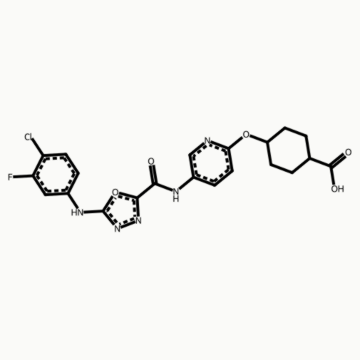 O=C(Nc1ccc(OC2CCC(C(=O)O)CC2)nc1)c1nnc(Nc2ccc(Cl)c(F)c2)o1